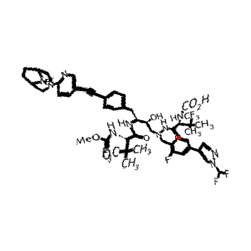 CCN1C2CCC1CN(c1ccc(C#Cc3ccc(C[C@H](NC(=O)[C@@H](NC(=O)OC)C(C)(C)C(F)(F)F)[C@@H](O)CN(Cc4c(F)cc(-c5cnn(C(F)F)c5)cc4F)NC(=O)[C@@H](NC(=O)O)C(C)(C)C(F)(F)F)cc3)cn1)C2